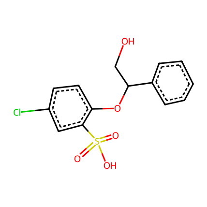 O=S(=O)(O)c1cc(Cl)ccc1OC(CO)c1ccccc1